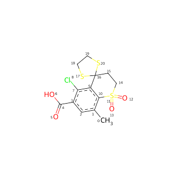 Cc1cc(C(=O)O)c(Cl)c2c1S(=O)(=O)CCC21SCCS1